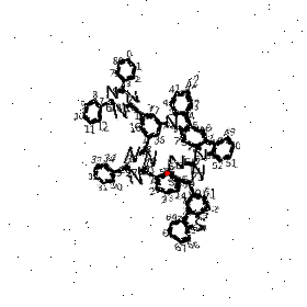 c1ccc(-c2nc(-c3ccccc3)nc(-c3cc(-c4nc(-c5ccccc5)nc(-c5ccccc5)n4)cc(-n4c5ccccc5c5cc6c7ccccc7n(-c7nccc(-c8ccc9sc%10ccccc%10c9c8)n7)c6cc54)c3)n2)cc1